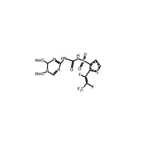 COC1N=C(NC(=O)NS(=O)(=O)c2ccsc2C(F)=C(F)C(F)(F)F)N=CN1OC